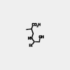 CCC(CO)NCC(C)C(=O)O